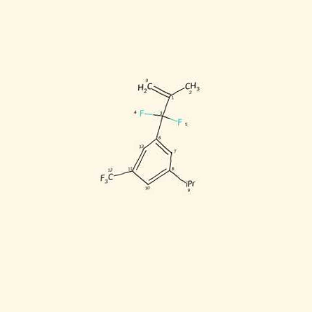 C=C(C)C(F)(F)c1cc(C(C)C)cc(C(F)(F)F)c1